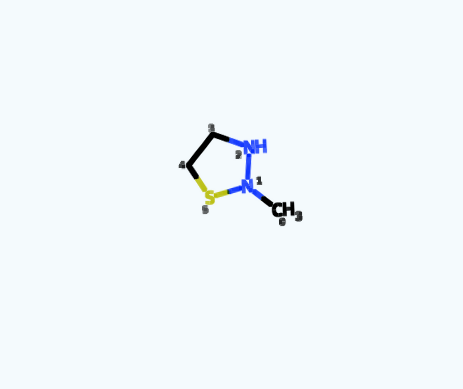 CN1NCCS1